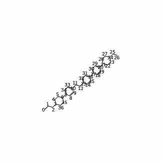 CCCC1CCC(c2ccc(CCc3ccc(-c4ccc(C5CCC(CC)CC5)cc4)cc3)cc2)CC1